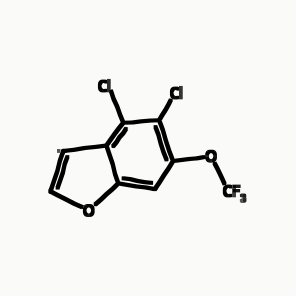 FC(F)(F)Oc1cc2oc[c]c2c(Cl)c1Cl